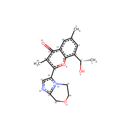 Cc1cc([C@H](C)O)c2oc(-c3cnc4n3CCOC4)c(C)c(=O)c2c1